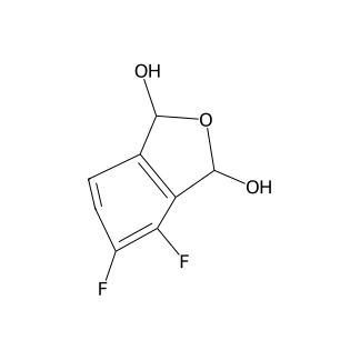 OC1OC(O)c2c1ccc(F)c2F